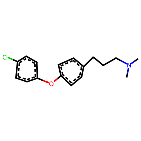 CN(C)CCCc1ccc(Oc2ccc(Cl)cc2)cc1